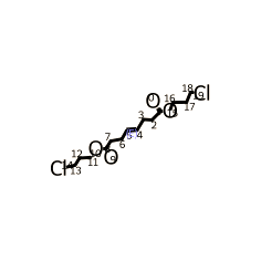 O=C(CC/C=C/CCC(=O)OCCCCl)OCCCCl